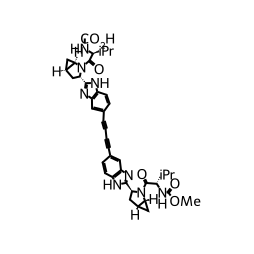 COC(=O)N[C@H](C(=O)N1[C@@H]2C[C@@H]2C[C@H]1c1nc2cc(C#CC#Cc3ccc4[nH]c([C@@H]5C[C@H]6C[C@H]6N5C(=O)[C@@H](NC(=O)O)C(C)C)nc4c3)ccc2[nH]1)C(C)C